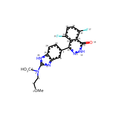 COCCN(C(=O)O)c1nc2cc(-c3n[nH]c(=O)c4c(F)ccc(F)c34)ccc2[nH]1